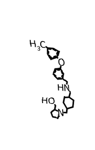 Cc1ccc(Oc2cccc(CNCC3CCC(CN4CCCC4CO)CC3)c2)cc1